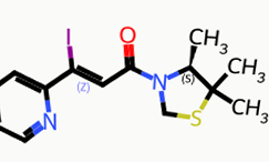 C[C@@H]1N(C(=O)/C=C(\I)c2ccccn2)CSC1(C)C